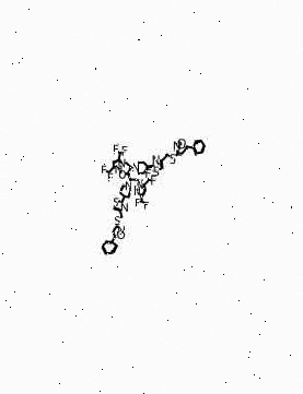 O=C(C(Cn1nc(C(F)F)cc1C(F)F)N1CCC(c2nc(CSC3=NOC(c4ccccc4)C3)cs2)CC1)C(Cn1nc(C(F)F)cc1C(F)F)N1CCC(c2nc(CSC3=NOC(c4ccccc4)C3)cs2)CC1